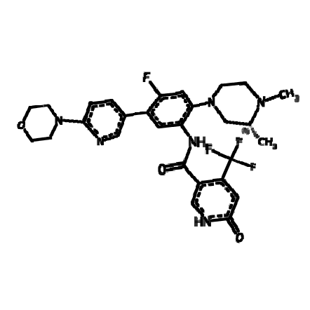 C[C@@H]1CN(c2cc(F)c(-c3ccc(N4CCOCC4)nc3)cc2NC(=O)c2c[nH]c(=O)cc2C(F)(F)F)CCN1C